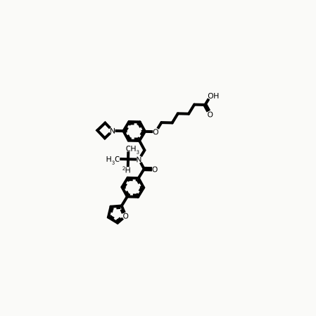 [2H]C(C)(C)N(Cc1cc(N2CCC2)ccc1OCCCCCC(=O)O)C(=O)c1ccc(-c2ccco2)cc1